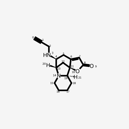 C#CCN[C@H]1CC2=CC(=O)O[C@@]23C[C@@H]1N1CCCC[C@@H]13